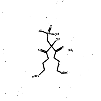 CCCCCCCCCCCCCC(=O)C(O)(CP(=O)(O)O)C(=O)CCCCCCCCCCCCC.N